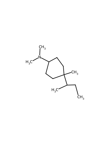 CCC(C)C1(C)CCC(N(C)C)CC1